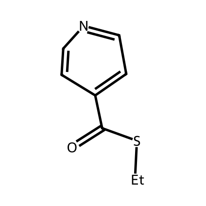 CCSC(=O)c1ccncc1